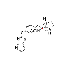 CC(=O)N[C@@H]1C[C@H]2CC[C@@H](C1)N2CCc1ccc(Oc2nc3ncccc3s2)cc1